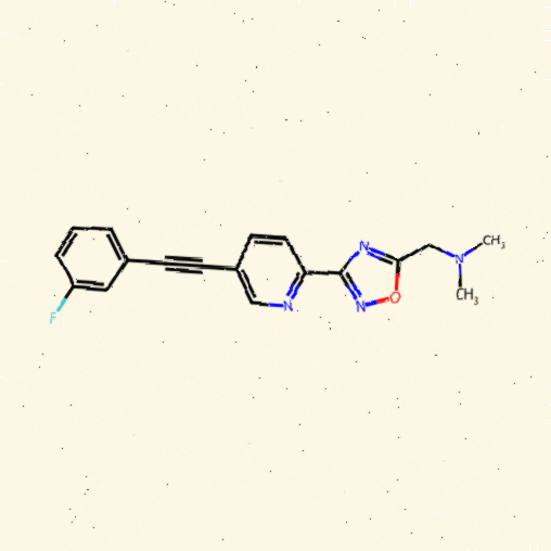 CN(C)Cc1nc(-c2ccc(C#Cc3cccc(F)c3)cn2)no1